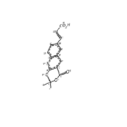 CC1(C)OC(=O)c2cc3cc(/C=C/C(=O)O)ccc3nc2O1